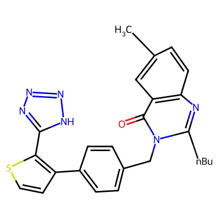 CCCCc1nc2ccc(C)cc2c(=O)n1Cc1ccc(-c2ccsc2-c2nnn[nH]2)cc1